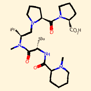 CC(C)[C@@H](CN1CCC[C@H]1C(=O)N1CCC[C@H]1C(=O)O)N(C)C(=O)[C@@H](NC(=O)C1CCCCN1C)C(C)(C)C